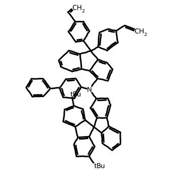 C=Cc1ccc(C2(c3ccc(C=C)cc3)c3ccccc3-c3c(N(c4ccc(-c5ccccc5)cc4)c4ccc5c(c4)C4(c6ccccc6-5)c5cc(C(C)(C)C)ccc5-c5ccc(C(C)(C)C)cc54)cccc32)cc1